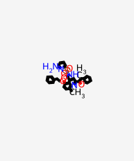 Cc1c(-c2cc(C(=O)NS(=O)(=O)c3cccc(N)n3)c3c(OCCc4ccccc4)ccc(C)c3n2)oc2ccccc12